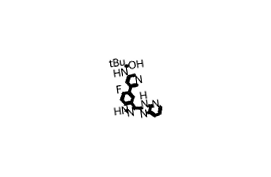 CC(C)(C)C(O)Nc1cncc(-c2cc3c(-c4nc5cccnc5[nH]4)n[nH]c3cc2F)c1